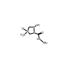 CCCN1C[N+](N)([O-])CN1C(=O)NC(C)(C)C